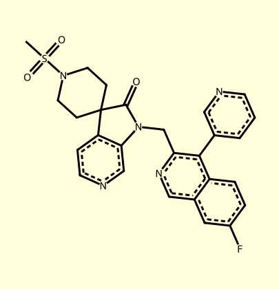 CS(=O)(=O)N1CCC2(CC1)C(=O)N(Cc1ncc3cc(F)ccc3c1-c1cccnc1)c1cnccc12